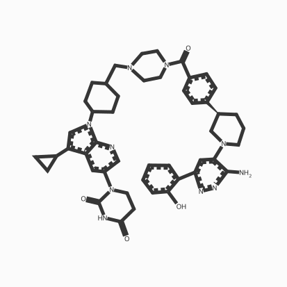 Nc1nnc(-c2ccccc2O)cc1N1CCC[C@H](c2ccc(C(=O)N3CCN(CC4CCC(n5cc(C6CC6)c6cc(N7CCC(=O)NC7=O)cnc65)CC4)CC3)cc2)C1